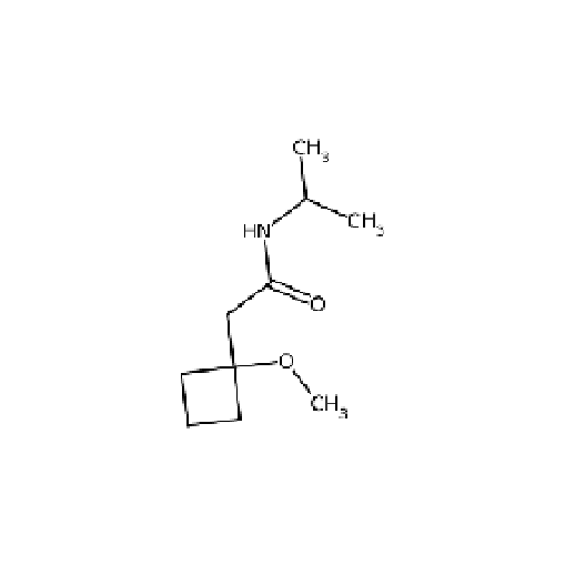 COC1(CC(=O)NC(C)C)CCC1